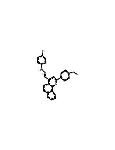 COc1ccc(-c2cc(/C=N/Nc3ccc(Cl)cc3)c3ccc4ccccc4c3n2)cc1